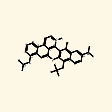 Cc1c2c(c(CC(C)(C)C)c3ccc(C(C)C)cc13)Oc1cc3c(CC(C)C)cccc3c3cc[n+](C)c-2c13